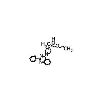 C=CCOCC(C)(O)N1CCN(c2nc(-c3ccccc3)nc3ccccc23)CC1